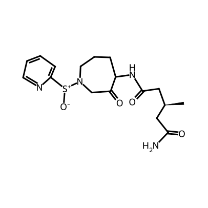 C[C@@H](CC(N)=O)CC(=O)NC1CCCN([S+]([O-])c2ccccn2)CC1=O